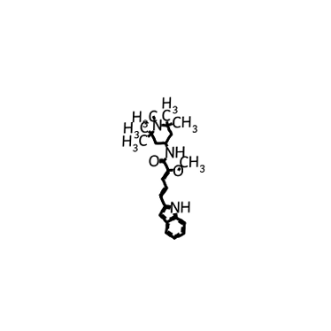 COC(=CC=Cc1cc2ccccc2[nH]1)C(=O)NC1CC(C)(C)N(C)C(C)(C)C1